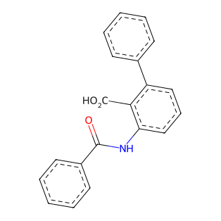 O=C(Nc1cccc(-c2ccccc2)c1C(=O)O)c1ccccc1